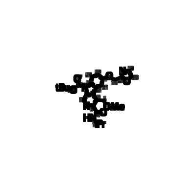 COCc1c(C(=O)NC(C)C)ncc2c1c1cc(OCc3ncco3)ccc1n2C(=O)OC(C)(C)C